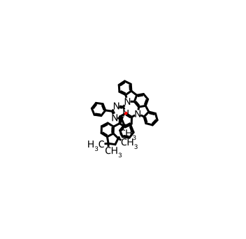 CC1(C)CC(C)(C)c2c(-c3ccc(-n4c5ccccc5c5ccc6c7ccccc7n(-c7nc(-c8ccccc8)nc(-c8ccccc8)n7)c6c54)cc3)cccc21